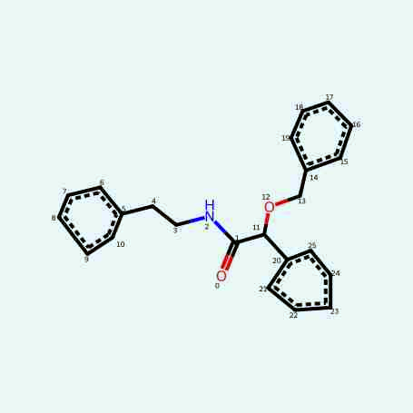 O=C(NCCc1ccccc1)C(OCc1ccccc1)c1ccccc1